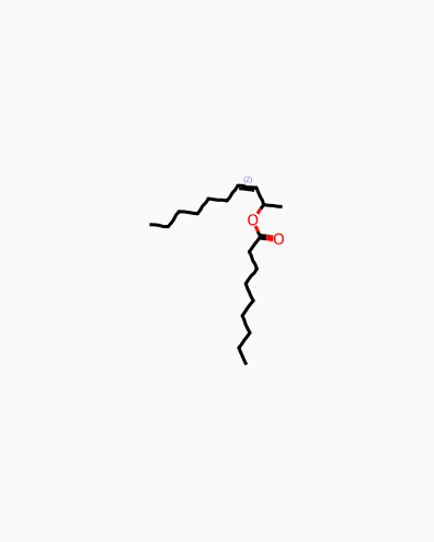 CCCCCC/C=C\C(C)OC(=O)CCCCCCCC